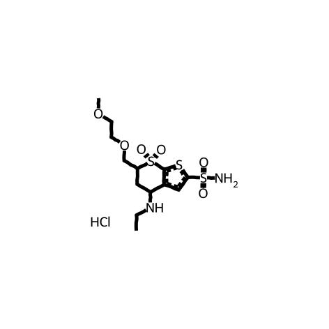 CCNC1CC(COCCOC)S(=O)(=O)c2sc(S(N)(=O)=O)cc21.Cl